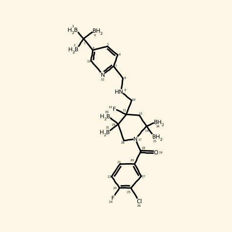 BC(B)(B)c1ccc(CNCC2(F)CC(B)(B)N(C(=O)c3ccc(F)c(Cl)c3)CC2(B)B)nc1